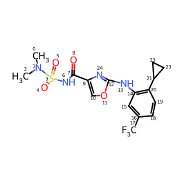 CN(C)S(=O)(=O)NC(=O)c1coc(Nc2cc(C(F)(F)F)ccc2C2CC2)n1